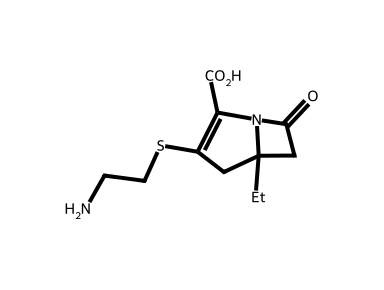 CCC12CC(=O)N1C(C(=O)O)=C(SCCN)C2